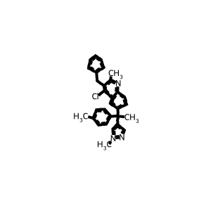 Cc1ccc(C(C)(c2ccc3nc(C)c(Cc4ccccc4)c(Cl)c3c2)c2cnn(C)c2)cc1